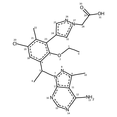 CCOc1c(C(C)n2nc(C)c3c(N)ncnc32)cc(Cl)c(C)c1-c1cnn(CC(=O)O)c1